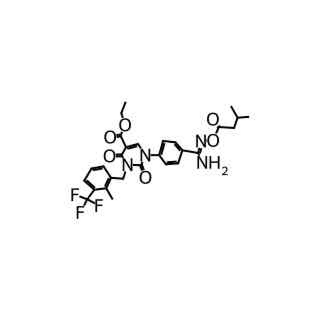 CCOC(=O)c1cn(-c2ccc(C(N)=NOC(=O)CC(C)C)cc2)c(=O)n(Cc2cccc(C(F)(F)F)c2C)c1=O